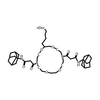 CCCCCCCCCCCCCCC1COCCN(C(=O)CC(=O)NC23CC4CC(CC(C4)C2)C3)CCOCCOCCN(C(=O)CC(=O)NC23CC4CC(CC(C4)C2)C3)CCO1